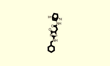 O=C(CC1SC(NCC2CCCCC2)=NC1=O)N[C@@H]1C[C@H]2CC[C@@H]1C2